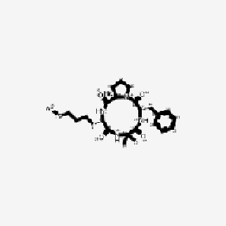 CC(=O)SCCCC[C@@H]1NC(=O)[C@H]2CCCN2C(=O)[C@H](Cc2ccccc2)NC(=O)C(C)(C)NC1=O